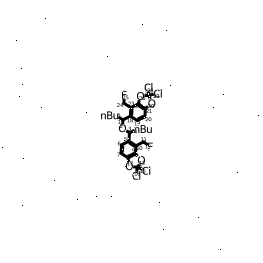 CCCCC(OC(CCCC)c1ccc2c(c1CF)OC(Cl)(Cl)O2)c1ccc2c(c1CF)OC(Cl)(Cl)O2